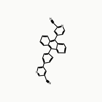 N#Cc1cncc(-c2ccc(-c3c4ccccc4c(-c4ccnc(C#N)c4)c4ccccc34)cc2)c1